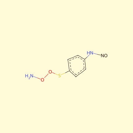 NOOSc1ccc(NN=O)cc1